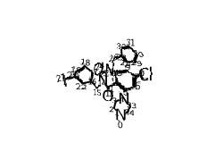 CN1CCN(c2cc(Cl)cc3c2c(=O)n(Cc2cccc(I)c2)c(=O)n3Cc2ccccc2)CC1